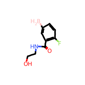 Bc1ccc(F)c(C(=O)NCCO)c1